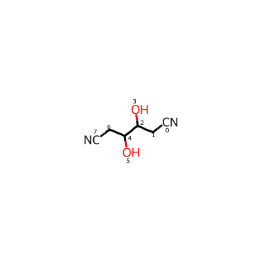 N#CCC(O)C(O)CC#N